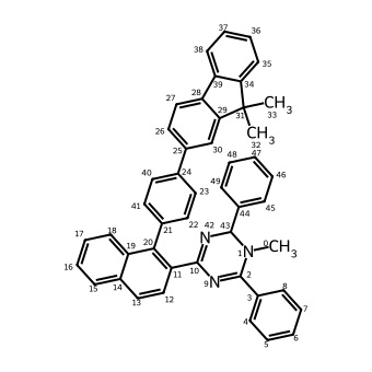 CN1C(c2ccccc2)=NC(c2ccc3ccccc3c2-c2ccc(-c3ccc4c(c3)C(C)(C)c3ccccc3-4)cc2)=NC1c1ccccc1